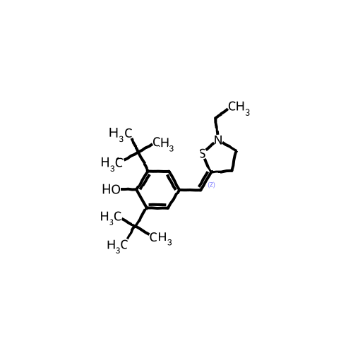 CCN1CC/C(=C/c2cc(C(C)(C)C)c(O)c(C(C)(C)C)c2)S1